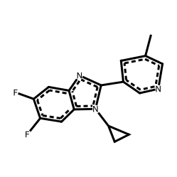 Cc1cncc(-c2nc3cc(F)c(F)cc3n2C2CC2)c1